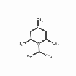 CC(C)N1C(C)CN(C)CC1C